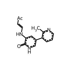 CC(=O)/C=C/Nc1cc(-c2cccnc2C)c[nH]c1=O